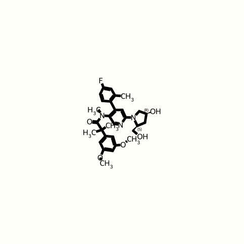 COc1cc(OC)cc(C(C)(C)C(=O)N(C)c2cnc(N3C[C@H](O)C[C@H]3CO)cc2-c2ccc(F)cc2C)c1